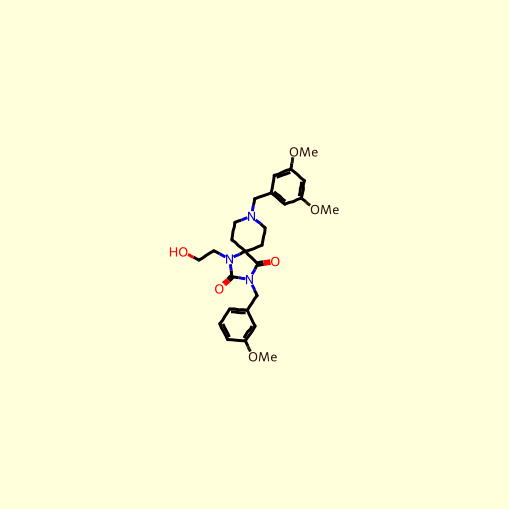 COc1cccc(CN2C(=O)N(CCO)C3(CCN(Cc4cc(OC)cc(OC)c4)CC3)C2=O)c1